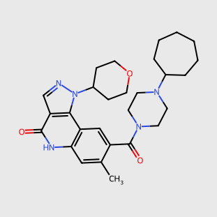 Cc1cc2[nH]c(=O)c3cnn(C4CCOCC4)c3c2cc1C(=O)N1CCN(C2CCCCCC2)CC1